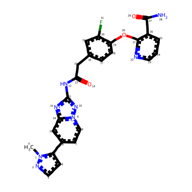 Cn1nccc1-c1ccn2nc(NC(=O)Cc3ccc(Oc4ncccc4C(N)=O)c(F)c3)nc2c1